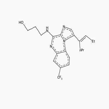 CC/C=C(\CCC)c1cnc2c(NCCCO)nc3cc(C(F)(F)F)ccc3n12